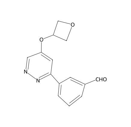 O=Cc1cccc(-c2cc(OC3COC3)cnn2)c1